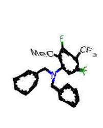 COc1c(N(Cc2ccccc2)Cc2ccccc2)cc(F)c(C(F)(F)F)c1F